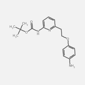 CC(C)(C)OC(=O)Nc1cccc(CCOc2ccc(N)cc2)n1